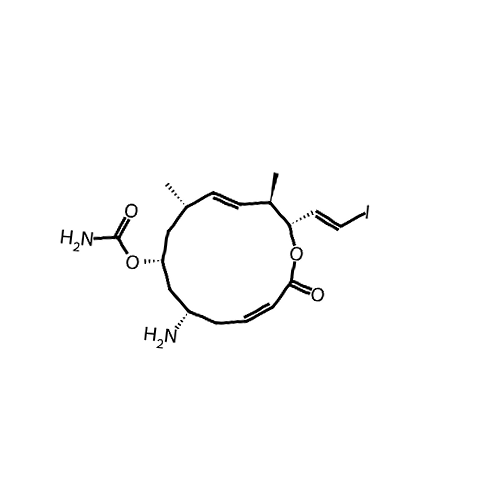 C[C@@H]1/C=C/[C@@H](C)[C@H](/C=C/I)OC(=O)/C=C\C[C@H](N)C[C@H](OC(N)=O)C1